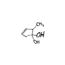 CC1C=CCC1(O)O